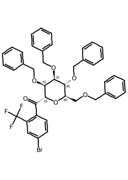 O=C(c1ccc(Br)cc1C(F)(F)F)[C@H]1O[C@H](COCc2ccccc2)[C@@H](OCc2ccccc2)[C@H](OCc2ccccc2)[C@@H]1OCc1ccccc1